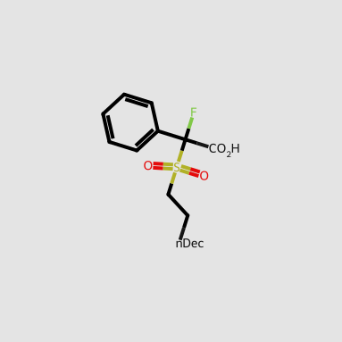 CCCCCCCCCCCCS(=O)(=O)C(F)(C(=O)O)c1ccccc1